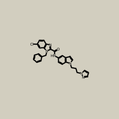 O=C(Nc1ccc2c(ccn2CCCn2cccn2)c1)c1nc2ccc(Cl)cc2n1Cc1ccccc1